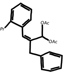 CCCc1ccccc1C=C(Cc1ccccc1)C(OC(C)=O)OC(C)=O